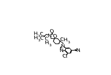 CC(C)(C)CN1CC2(CCCC(C)(Cn3cnc4c(Cl)cc(C#N)cc43)C2)OC1=O